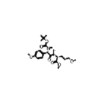 COCCC[C@H](NC(=O)[C@H](c1ccc(OC)cc1)N(C)C(=O)OC(C)(C)C)C(=O)OC